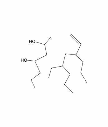 C=CC(CCC)CC(CC)CCC.CCCC(O)CC(C)O